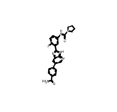 NC(=O)c1ccc(-c2cnc3[nH]c(-c4cc(NC(=O)N5CCCC5)ccc4F)nc3c2)cc1